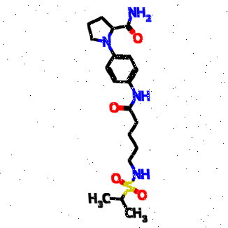 CC(C)S(=O)(=O)NCCCCC(=O)Nc1ccc(N2CCCC2C(N)=O)cc1